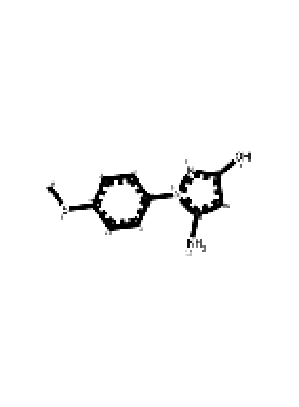 CSc1ccc(-n2nc(O)cc2N)cc1